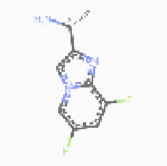 C[C@@H](N)c1cn2cc(F)cc(F)c2n1